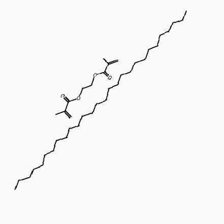 C=C(C)C(=O)OCCOC(=O)C(=C)C.CCCCCCCCCCCCCCCCCCCCCCCCCCCC